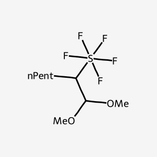 CCCCCC(C(OC)OC)S(F)(F)(F)(F)F